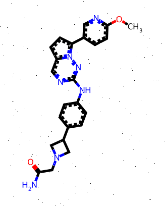 COc1ccc(-c2ccc3cnc(Nc4ccc(C5CN(CC(N)=O)C5)cc4)nn23)cn1